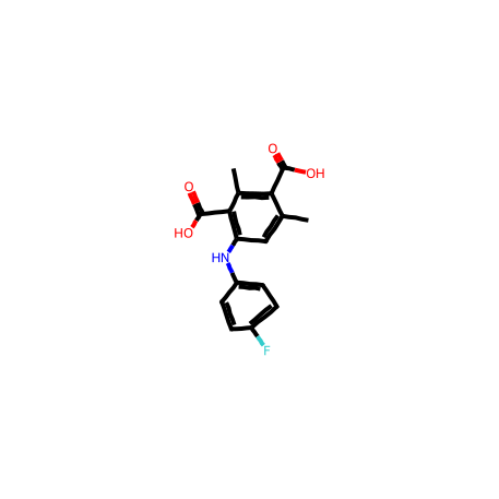 Cc1cc(Nc2ccc(F)cc2)c(C(=O)O)c(C)c1C(=O)O